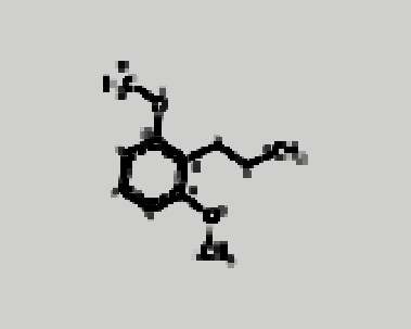 CCCc1c(OC)cccc1OC